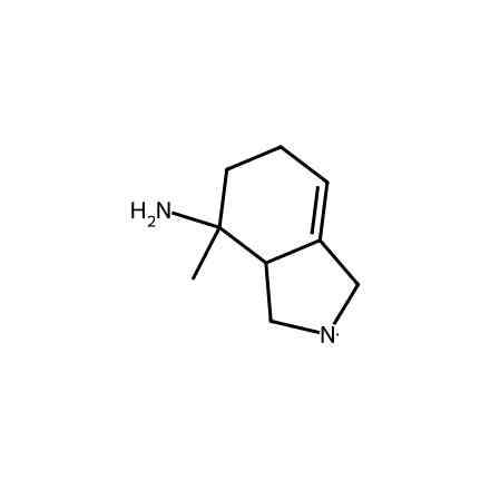 CC1(N)CCC=C2C[N]CC21